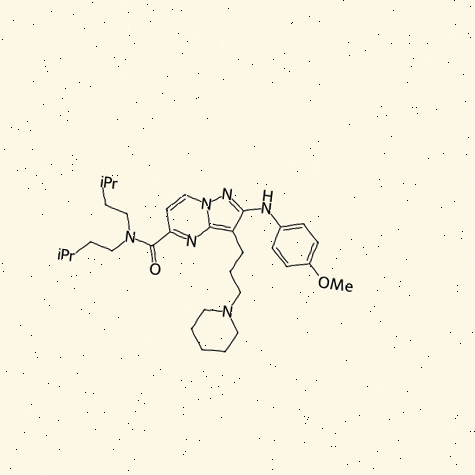 COc1ccc(Nc2nn3ccc(C(=O)N(CCC(C)C)CCC(C)C)nc3c2CCCN2CCCCC2)cc1